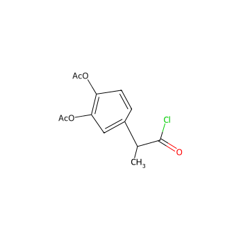 CC(=O)Oc1ccc(C(C)C(=O)Cl)cc1OC(C)=O